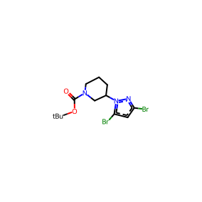 CC(C)(C)OC(=O)N1CCCC(n2nc(Br)cc2Br)C1